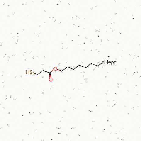 CCCCCCCCCCCCCCOC(=O)CCS